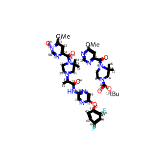 COc1cc(C(=O)N2CCN(C(=O)OC(C)(C)C)CC2(C)C)ncn1.COc1cc(C(=O)N2CCN(C(C)C(=O)Nc3cnc(Oc4ccc(F)cc4F)cn3)CC2(C)C)nc[n+]1[O-]